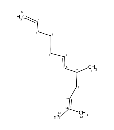 C=CCCCC=CC(C)CC=C(C)CCC